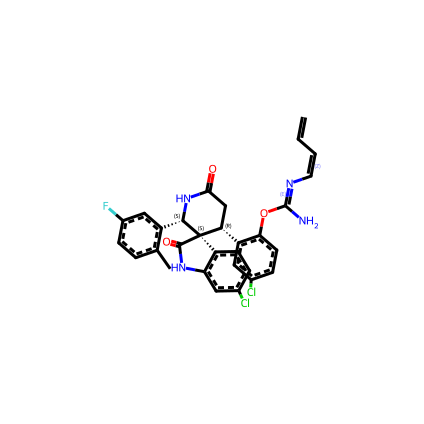 C=C/C=C\N=C(/N)Oc1ccc(Cl)cc1[C@H]1CC(=O)N[C@@H](c2cc(F)ccc2C)[C@]12C(=O)Nc1cc(Cl)ccc12